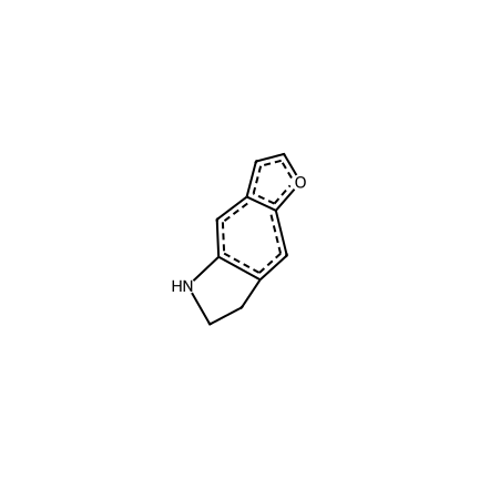 c1cc2cc3c(cc2o1)CCN3